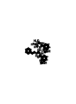 CC(NCCc1ccccc1)NC(=O)c1cccc2[nH]cnc12.CCCN(CCC)C(C)NC(=O)c1cccc2[nH]cnc12